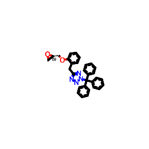 c1ccc(C(c2ccccc2)(c2ccccc2)n2nnc(Cc3ccccc3OC[C@@H]3CO3)n2)cc1